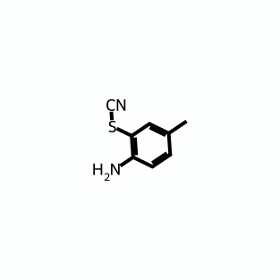 Cc1ccc(N)c(SC#N)c1